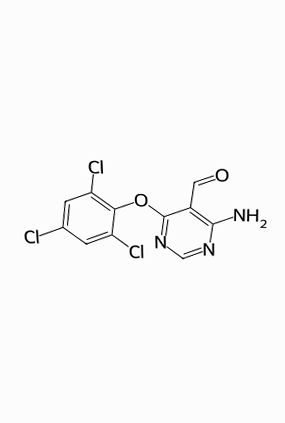 Nc1ncnc(Oc2c(Cl)cc(Cl)cc2Cl)c1C=O